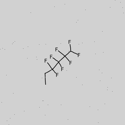 CCC(F)(F)C(F)(F)C(F)(F)[C](F)F